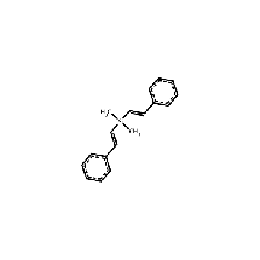 C[Si](C)(C=Cc1ccccc1)C=Cc1ccccc1